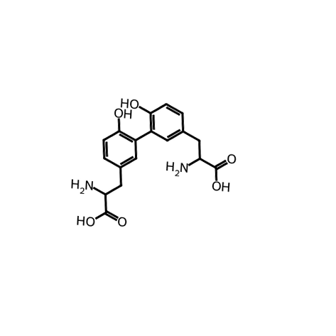 NC(Cc1ccc(O)c(-c2cc(CC(N)C(=O)O)ccc2O)c1)C(=O)O